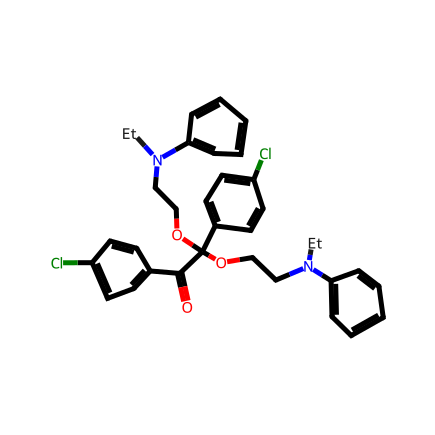 CCN(CCOC(OCCN(CC)c1ccccc1)(C(=O)c1ccc(Cl)cc1)c1ccc(Cl)cc1)c1ccccc1